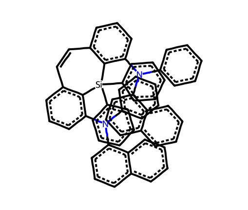 C1=Cc2cccc(N(c3ccccc3)c3cccc4ccccc34)c2[Si](c2ccccc2)(c2ccccc2)c2c1cccc2N(c1ccccc1)c1cccc2ccccc12